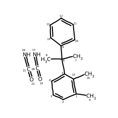 Cc1cccc(C(C)(C)c2ccccc2)c1C.N=C=O.N=C=O